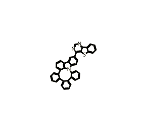 c1ccc2c(c1)sc1c(-c3ccc4c(c3)c3cccc5c6ccccc6c6ccccc6c6ccccc6n4c53)ncnc12